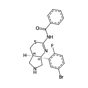 O=C(NC1=N[C@@]2(c3cc(Br)ccc3F)CNC[C@H]2CS1)c1ccccc1